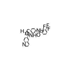 Cc1ccc(NC(=O)c2cccc(C(F)(F)F)c2)cc1NC(=O)c1ccc2ncccc2c1